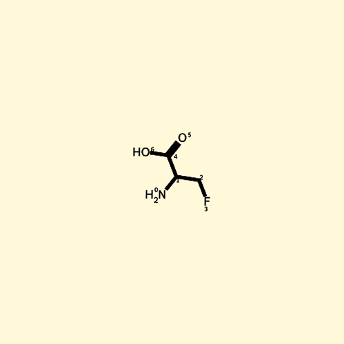 NC(CF)C(=O)O